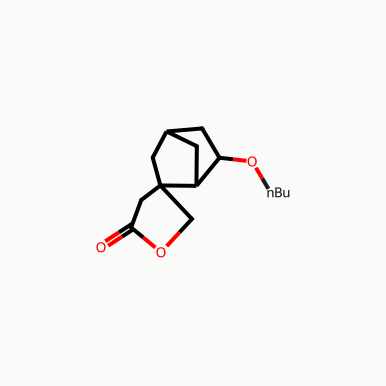 CCCCOC1CC2CC1C1(COC(=O)C1)C2